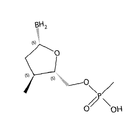 B[C@H]1C[C@H](C)[C@@H](COP(C)(=O)O)O1